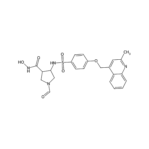 Cc1cc(COc2ccc(S(=O)(=O)NC3CN(C=O)CC3C(=O)NO)cc2)c2ccccc2n1